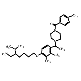 Cc1c(OCCCCC(CN)N(C)C)ccc(C(C)N2CCN(C(=O)c3ccc(C(F)(F)F)cc3)CC2)c1C